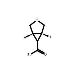 CCC(=O)[C@H]1[C@@H]2COC[C@@H]21